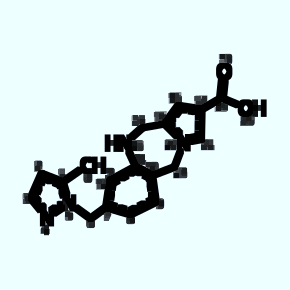 Cc1ccnn1Cc1ccc2c(c1)NCc1cc(C(=O)O)cn1C2